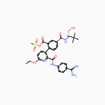 CCOc1ccc(-c2ccc(C(=O)N[C@H](CO)C(C)(C)C)cc2C(=O)OS(C)(=O)=O)c(C(=O)Nc2ccc(C(=N)N)cc2)n1